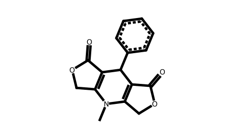 CN1C2=C(C(=O)OC2)C(c2ccccc2)C2=C1COC2=O